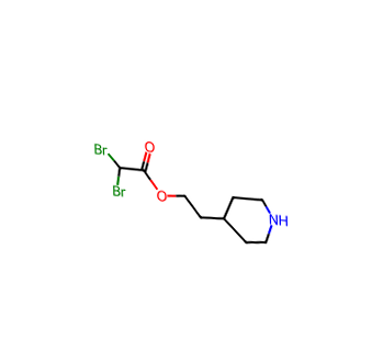 O=C(OCCC1CCNCC1)C(Br)Br